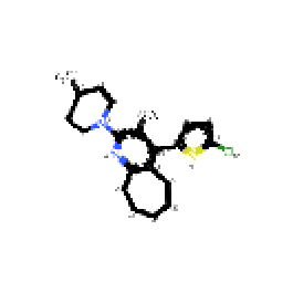 N#Cc1c(N2CCC(C(F)(F)F)CC2)nc2c(c1-c1ccc(Cl)s1)CCCCC2